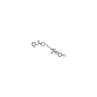 Cc1ccccc1CC(=O)N1CCC(CCCCNC(=O)NCc2ccc(Cl)cc2)CC1